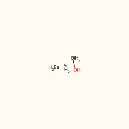 [BaH2].[OH][BiH2].[SrH2]